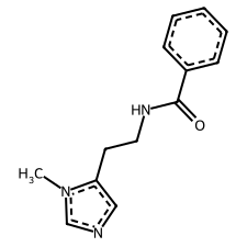 Cn1cncc1CCNC(=O)c1ccccc1